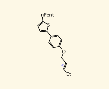 CC/C=C/COc1ccc(-c2ccc(CCCCC)s2)cc1